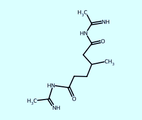 CC(=N)NC(=O)CCC(C)CC(=O)NC(C)=N